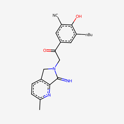 CCCCc1cc(C(=O)CN2Cc3ccc(C)nc3C2=N)cc(C#N)c1O